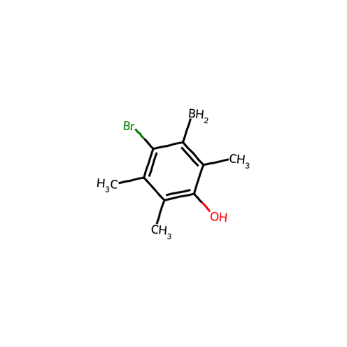 Bc1c(C)c(O)c(C)c(C)c1Br